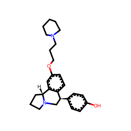 Oc1ccc([C@H]2CN3CCC[C@@H]3c3cc(OCCCN4CCCCC4)ccc32)cc1